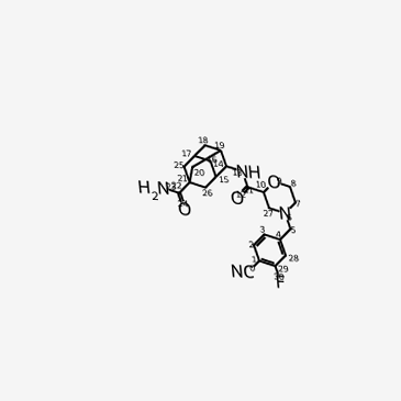 N#Cc1ccc(CN2CCOC(C(=O)NC3C4CC5CC3CC(C(N)=O)(C5)C4)C2)cc1F